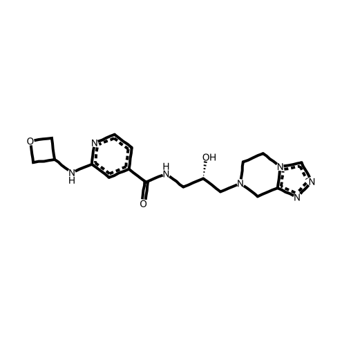 O=C(NC[C@H](O)CN1CCn2cnnc2C1)c1ccnc(NC2COC2)c1